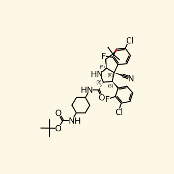 CC(C)(C)C[C@@H]1N[C@@H](C(=O)NC2CCC(NC(=O)OC(C)(C)C)CC2)[C@H](c2cccc(Cl)c2F)[C@@]1(C#N)c1ccc(Cl)cc1F